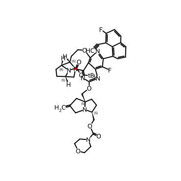 C#Cc1c(F)ccc2cccc(-c3nc4c5c(nc(OC[C@@]67CC[C@@H](COC(=O)N8CCOCC8)N6CC(=C)C7)nc5c3F)N3C[C@@H]5CC[C@H]([C@@H]3CCO4)N5C(=O)OC(C)(C)C)c12